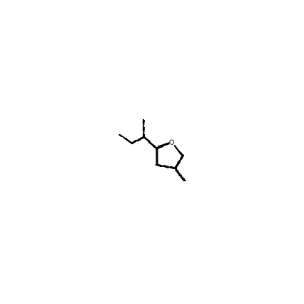 CCC(C)C1CC(C)CO1